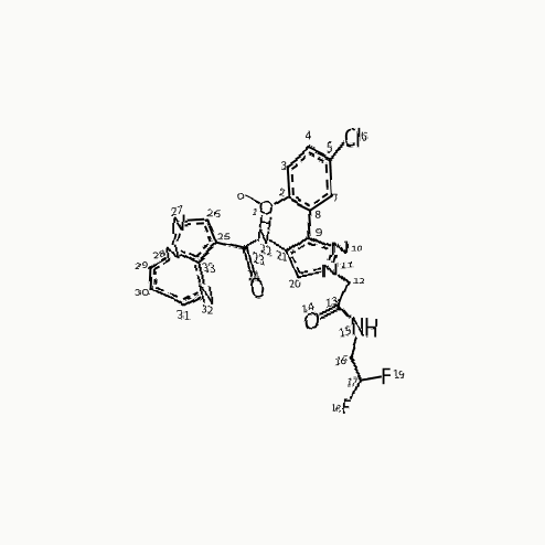 COc1ccc(Cl)cc1-c1nn(CC(=O)NCC(F)F)cc1NC(=O)c1cnn2cccnc12